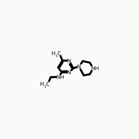 CCNc1cc(C)nc(N2CCNCC2)n1